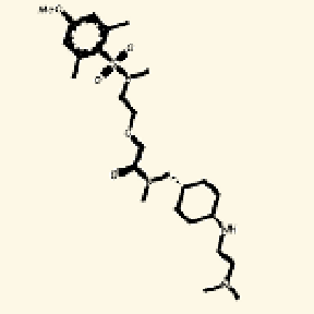 COc1cc(C)c(S(=O)(=O)N(C)CCOCC(=O)N(C)C[C@H]2CC[C@H](NCCN(C)C)CC2)c(C)c1